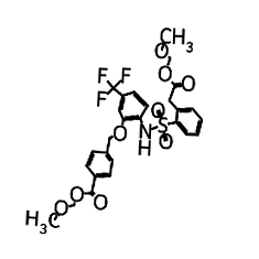 COCOC(=O)Cc1ccccc1S(=O)(=O)Nc1ccc(C(F)(F)F)cc1OCc1ccc(C(=O)OCOC)cc1